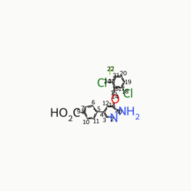 Nc1ncc(-c2ccc(C(=O)O)cc2)cc1OCc1c(Cl)ccc(F)c1Cl